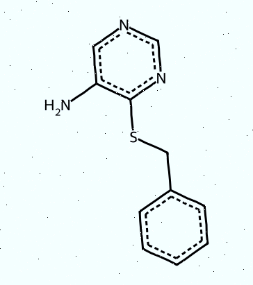 Nc1cncnc1SCc1ccccc1